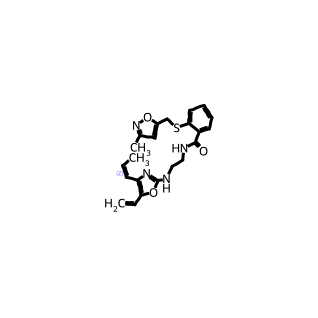 C=Cc1oc(NCCNC(=O)c2ccccc2SCc2cc(C)no2)nc1/C=C\C